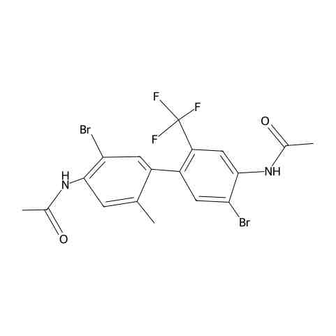 CC(=O)Nc1cc(C)c(-c2cc(Br)c(NC(C)=O)cc2C(F)(F)F)cc1Br